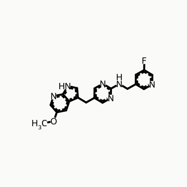 COc1cnc2[nH]cc(Cc3cnc(NCc4cncc(F)c4)nc3)c2c1